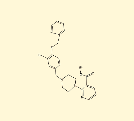 CC(C)OC(=O)c1cccnc1N1CCN(Cc2ccc(OCc3ccccc3)c(Cl)c2)CC1